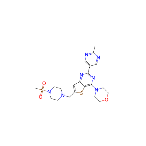 Cc1ncc(-c2nc(N3CCOCC3)c3sc(CN4CCN(S(C)(=O)=O)CC4)cc3n2)cn1